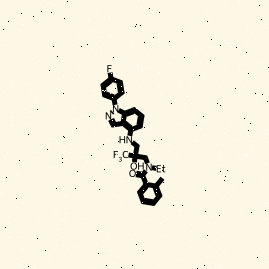 CCN(CC(O)(CNc1cccc2c1cnn2-c1ccc(F)cc1)C(F)(F)F)C(=O)c1ccccc1C